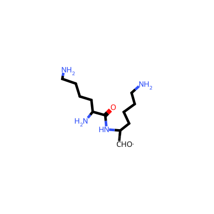 NCCCCC([C]=O)NC(=O)C(N)CCCCN